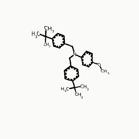 COc1ccc(N(Cc2ccc(C(C)(C)C)cc2)Cc2ccc(C(C)(C)C)cc2)cc1